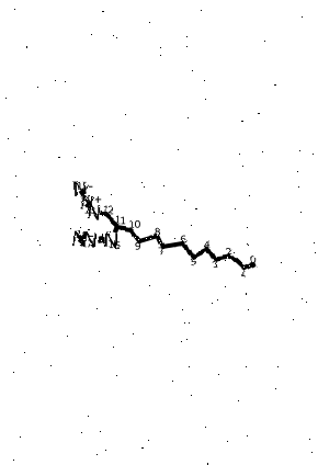 CCCCCCCCCCCC(CN=[N+]=[N-])N=[N+]=[N-]